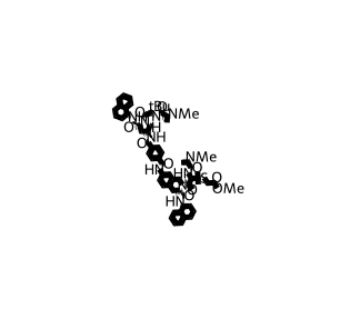 CN[C@@H](C)C(=O)NC(C(=O)N1Cc2cc(NC(=O)c3ccc(C(=O)N[C@H]4C[C@@H](C(=O)N[C@@H]5CCCc6ccccc65)N(C(=O)[C@@H](NC(=O)[C@H](C)NC)C(C)(C)C)C4)cc3)ccc2C[C@H]1C(=O)N[C@@H]1CCCc2ccccc21)C(C)(C)SCC(=O)OC